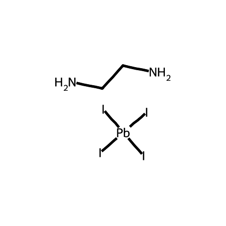 NCCN.[I][Pb]([I])([I])[I]